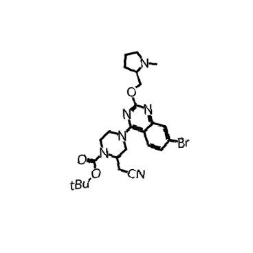 CN1CCCC1COc1nc(N2CCN(C(=O)OC(C)(C)C)C(CC#N)C2)c2ccc(Br)cc2n1